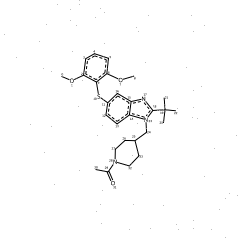 COc1cccc(OC)c1Sc1ccc2c(c1)nc(C(C)(C)C)n2CC1CCN(C(C)=O)CC1